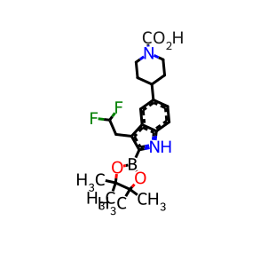 CC1(C)OB(c2[nH]c3ccc(C4CCN(C(=O)O)CC4)cc3c2CC(F)F)OC1(C)C